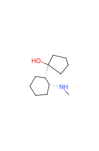 CN[C@@H]1CCCC[C@@H]1C1(O)CCCC1